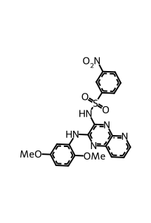 COc1ccc(OC)c(Nc2nc3cccnc3nc2NS(=O)(=O)c2cccc([N+](=O)[O-])c2)c1